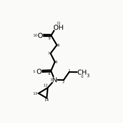 CCCN(C(=O)CCCC(=O)O)C1CC1